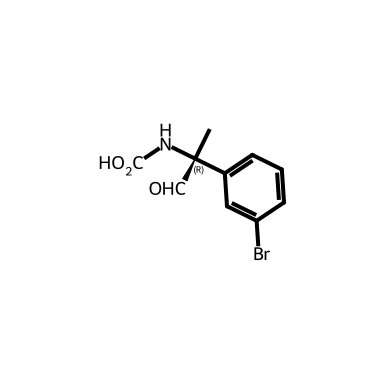 C[C@@](C=O)(NC(=O)O)c1cccc(Br)c1